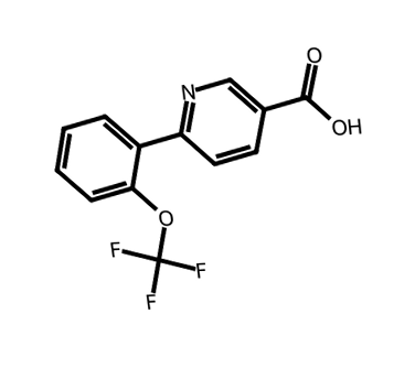 O=C(O)c1ccc(-c2ccccc2OC(F)(F)F)nc1